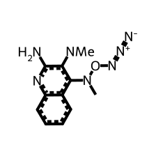 CNc1c(N)nc2ccccc2c1N(C)ON=[N+]=[N-]